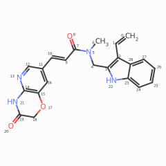 C=Cc1c(CN(C)C(=O)C=Cc2cnc3c(c2)OCC(=O)N3)[nH]c2ccccc12